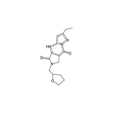 CCc1cc2[nH]c3c(c(=O)n2n1)CN(CC1CCCO1)C3=O